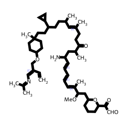 C=C/C(=C\N=C(C)C)COC1CCC(C)(CCC(CCC(C)/C=C(\C)CCC(=O)C(C)CC(N)/C=C/C=C/C=C(\C)C(CC2CCCC(C(=O)C=O)O2)OC)C2CC2)CC1